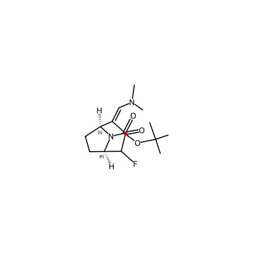 CN(C)C=C1C(=O)C(F)[C@H]2CC[C@@H]1N2C(=O)OC(C)(C)C